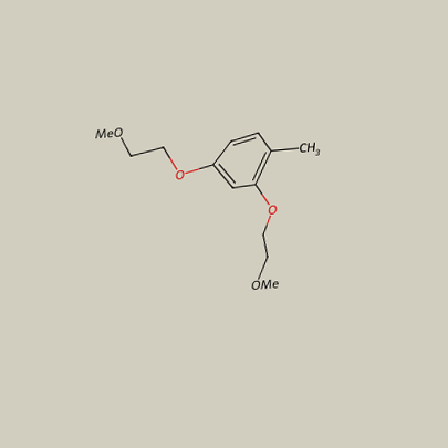 COCCOc1ccc(C)c(OCCOC)c1